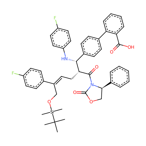 CC(C)(C)[Si](C)(C)OCC(=CC[C@@H](C(=O)N1C(=O)OC[C@@H]1c1ccccc1)[C@H](Nc1ccc(F)cc1)c1ccc(-c2ccccc2C(=O)O)cc1)c1ccc(F)cc1